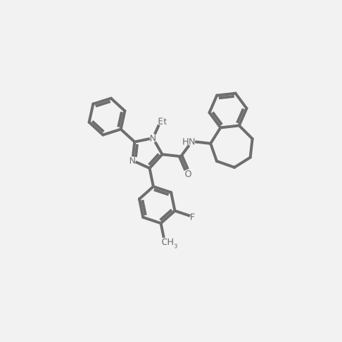 CCn1c(-c2ccccc2)nc(-c2ccc(C)c(F)c2)c1C(=O)NC1CCCCc2ccccc21